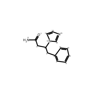 NC(=O)CC(Cc1ccccc1)n1ccnc1